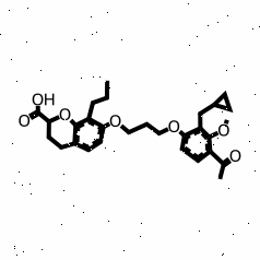 CCCc1c(OCCCOc2ccc(C(C)=O)c(OC)c2CC2CC2)ccc2c1OC(C(=O)O)CC2